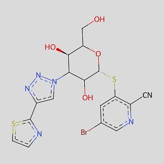 N#Cc1ncc(Br)cc1S[C@H]1OC(CO)[C@H](O)C(n2cc(-c3nccs3)nn2)C1O